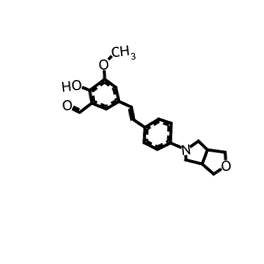 COc1cc(/C=C/c2ccc(N3CC4COCC4C3)cc2)cc(C=O)c1O